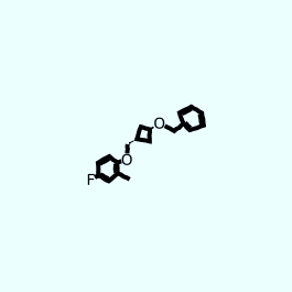 Cc1cc(F)ccc1OC[C@H]1C[C@@H](OCc2ccccc2)C1